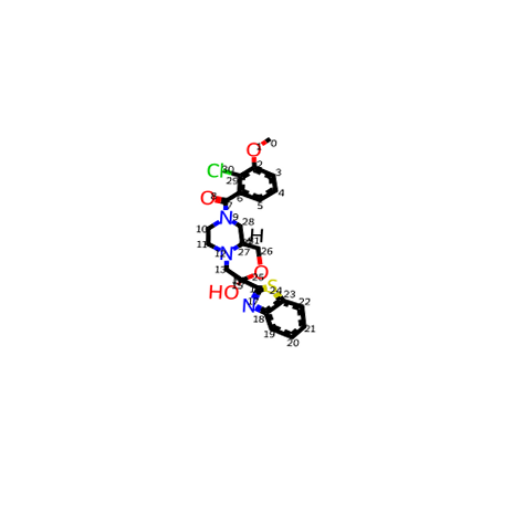 COc1cccc(C(=O)N2CCN3C[C@@](O)(c4nc5ccccc5s4)OC[C@@H]3C2)c1Cl